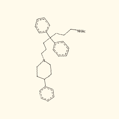 CC(=O)NCCCC(CCCN1CCC(c2ccccc2)CC1)(c1ccccc1)c1ccccc1